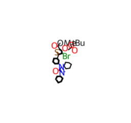 COC(=O)c1sc(-c2cccc(N(C(=O)N(C)c3ccccc3)C3CCCCC3)c2)c(Br)c1OCC(=O)OC(C)(C)C